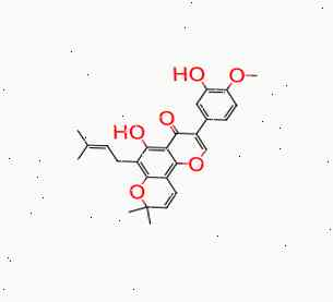 COc1ccc(-c2coc3c4c(c(CC=C(C)C)c(O)c3c2=O)OC(C)(C)C=C4)cc1O